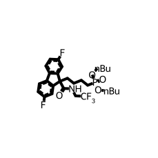 CCCCOP(=O)(CCCCC1(C(=O)NCC(F)(F)F)c2cc(F)ccc2-c2ccc(F)cc21)OCCCC